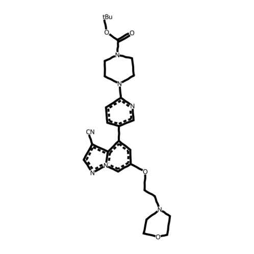 CC(C)(C)OC(=O)N1CCN(c2ccc(-c3cc(OCCN4CCOCC4)cn4ncc(C#N)c34)cn2)CC1